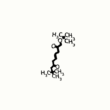 CC(C)(C)CC(=O)CC=CCC(=O)COC(C)(C)C